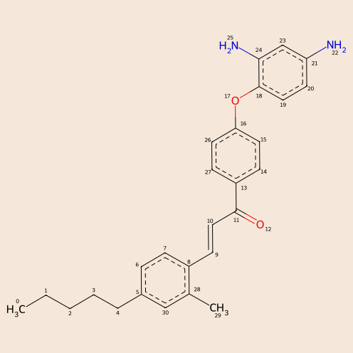 CCCCCc1ccc(/C=C/C(=O)c2ccc(Oc3ccc(N)cc3N)cc2)c(C)c1